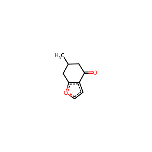 CC1CC(=O)c2ccoc2C1